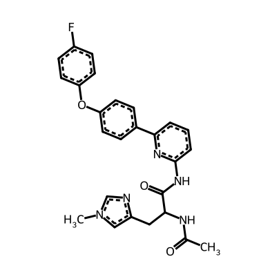 CC(=O)NC(Cc1cn(C)cn1)C(=O)Nc1cccc(-c2ccc(Oc3ccc(F)cc3)cc2)n1